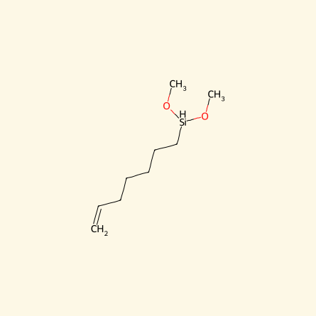 C=CCCCCC[SiH](OC)OC